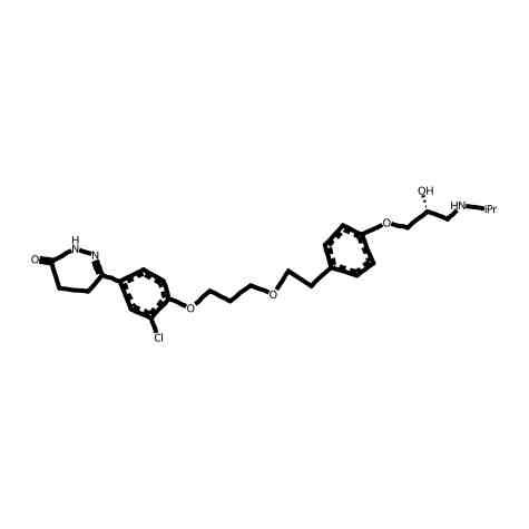 CC(C)NC[C@@H](O)COc1ccc(CCOCCCOc2ccc(C3=NNC(=O)CC3)cc2Cl)cc1